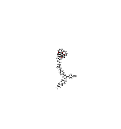 CC(C)(C)CC(=O)Oc1ccc(-c2cc(-c3ccc(O)cc3)cc(-c3ccc(OCC(=O)OCCOc4ccc(S(c5ccccc5)(c5ccccc5)(C(F)(F)F)=S(=O)(O)O)cc4)cc3)c2)cc1